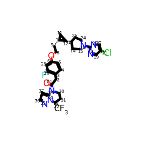 O=C(Cc1ccc(OCC[C@@H]2C[C@@H]2C2CCN(c3ncc(Cl)cn3)CC2)cc1F)N1CCC(C(F)(F)F)n2nccc21